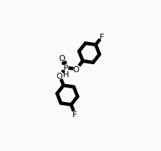 O=[PH](OC1CCC(F)CC1)OC1CCC(F)CC1